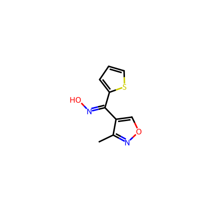 Cc1nocc1C(=NO)c1cccs1